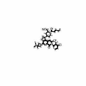 Cc1c(Cl)cccc1-n1c(C(F)(F)F)cc2c(nc(N3CC(C)(N(C)C)C3)c3nnn(C4CCN(C(=O)/C=C/CF)C(CC#N)C4)c32)c1=O